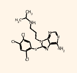 CC(C)NCCCn1c(Sc2cc(Cl)c(Cl)cc2Cl)nc2c(N)ncnc21